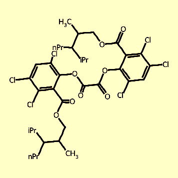 CCCC(C(C)C)C(C)COC(=O)c1c(Cl)c(Cl)cc(Cl)c1OC(=O)C(=O)Oc1c(Cl)cc(Cl)c(Cl)c1C(=O)OCC(C)C(CCC)C(C)C